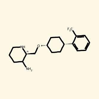 NC1CCCN[C@H]1CO[C@H]1CC[C@@H](c2ccccc2C(F)(F)F)CC1